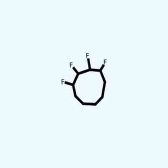 FC1CCCCCC(F)C(F)C1F